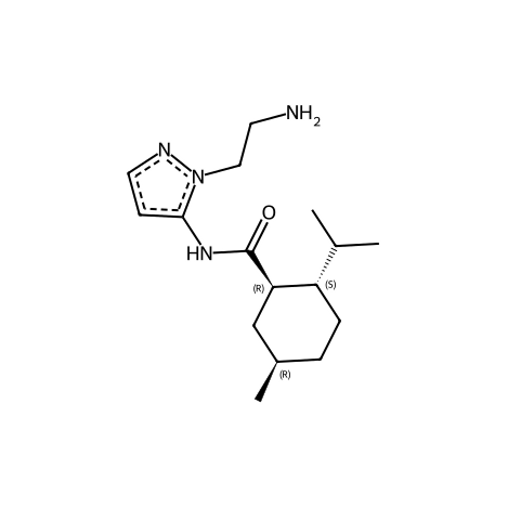 CC(C)[C@@H]1CC[C@@H](C)C[C@H]1C(=O)Nc1ccnn1CCN